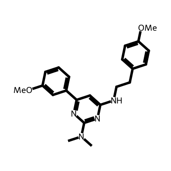 COc1ccc(CCNc2cc(-c3cccc(OC)c3)nc(N(C)C)n2)cc1